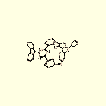 N#Cc1cccc(-c2nc(-c3cccc4c3oc3c4ccc4c(-c5ccccc5)nc5ccccc5c43)nc(-n3c4ccccc4c4ccccc43)n2)c1